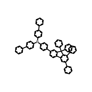 c1ccc(-c2ccc(N(c3ccc(-c4ccccc4)cc3)c3ccc(-c4ccc5c(c4)C(c4ccccc4)(c4ccccc4)c4c(-c6ccccc6)cc(-c6ccccc6)cc4-5)cc3)cc2)cc1